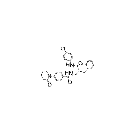 O=C(NCC(Cc1ccccc1)C(=O)Nc1ccc(Cl)cc1)c1ccc(N2CCCCC2=O)cc1